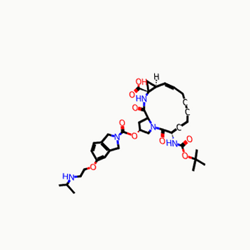 CC(C)NCCOc1ccc2c(c1)CN(C(=O)O[C@@H]1CC3C(=O)N[C@]4(C(=O)O)C[C@H]4/C=C\CCCCC[C@H](NC(=O)OC(C)(C)C)C(=O)N3C1)C2